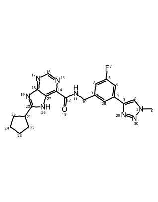 Cn1cc(-c2cc(F)cc(CNC(=O)c3ncnc4nc(C5CCCC5)[nH]c34)c2)nn1